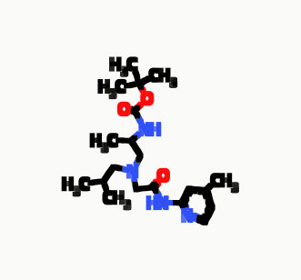 Cc1ccnc(NC(=O)CN(CC(C)C)CC(C)NC(=O)OC(C)(C)C)c1